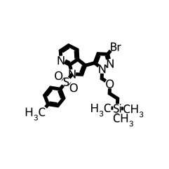 Cc1ccc(S(=O)(=O)n2cc(-c3cc(Br)nn3COCC[Si](C)(C)C)c3cccnc32)cc1